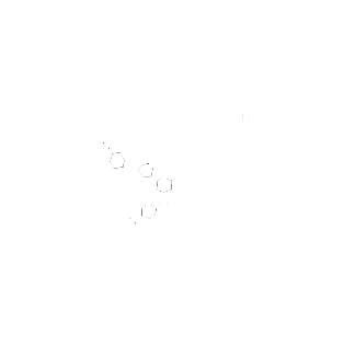 CCCCCC[C@H]1CC[C@@H](C2CCC(c3ccc(Oc4ccc(N)cc4)cc3)(c3ccc(Oc4ccc(N)cc4)cc3)CC2)CC1